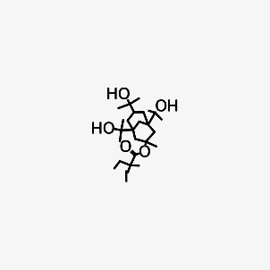 CCC(C)(I)C(=O)OC1(C)CC2(C(C)(C)O)CC(C(C)(C)O)CC(C(C)(C)O)(C1)C2